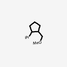 COCC1CCCC1C(C)C